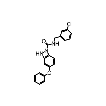 O=C(NCc1cccc(Cl)c1)n1[nH]c2cc(Oc3ccccc3)ccc21